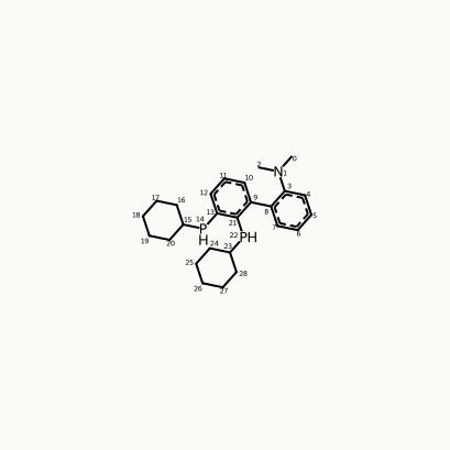 CN(C)c1ccccc1-c1cccc(PC2CCCCC2)c1PC1CCCCC1